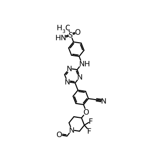 CS(=N)(=O)c1ccc(Nc2ncnc(-c3ccc(OC4CCN(C=O)CC4(F)F)c(C#N)c3)n2)cc1